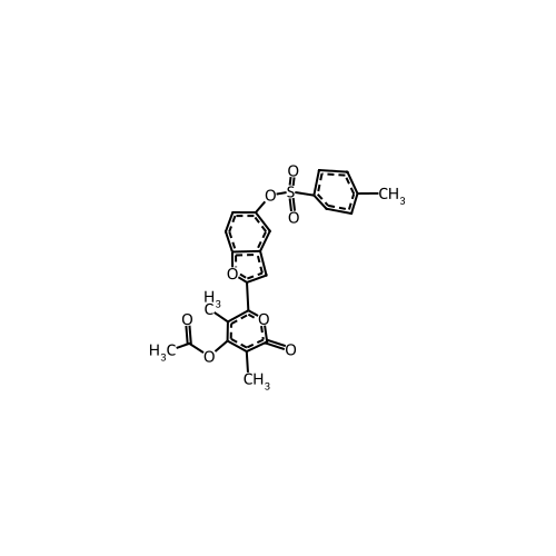 CC(=O)Oc1c(C)c(-c2cc3cc(OS(=O)(=O)c4ccc(C)cc4)ccc3o2)oc(=O)c1C